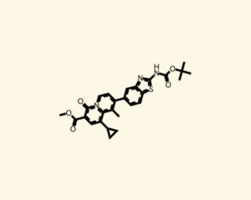 COC(=O)c1cc(C2CC2)c2c(C)c(-c3ccc4sc(NC(=O)OC(C)(C)C)nc4c3)ccn2c1=O